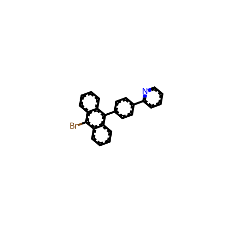 Brc1c2ccccc2c(-c2ccc(-c3ccccn3)cc2)c2ccccc12